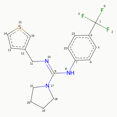 FC(F)(F)c1ccc(NC(=NCc2ccsc2)N2CCCC2)cc1